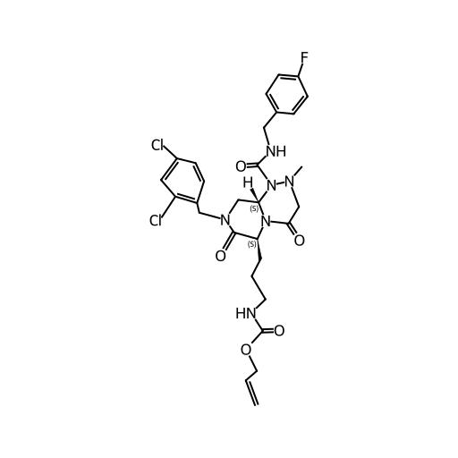 C=CCOC(=O)NCCC[C@H]1C(=O)N(Cc2ccc(Cl)cc2Cl)C[C@H]2N1C(=O)CN(C)N2C(=O)NCc1ccc(F)cc1